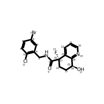 O=C(NCc1cc(Br)ccc1Cl)[C@]1(F)CC[C@H](O)c2ncccc21